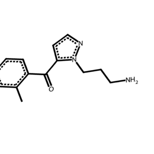 Cc1ccccc1C(=O)c1ccnn1CCCN